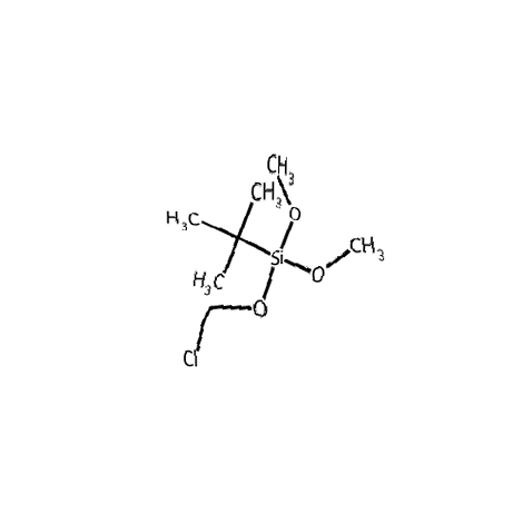 CO[Si](OC)(OCCl)C(C)(C)C